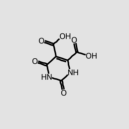 O=C(O)c1[nH]c(=O)[nH]c(=O)c1C(=O)O